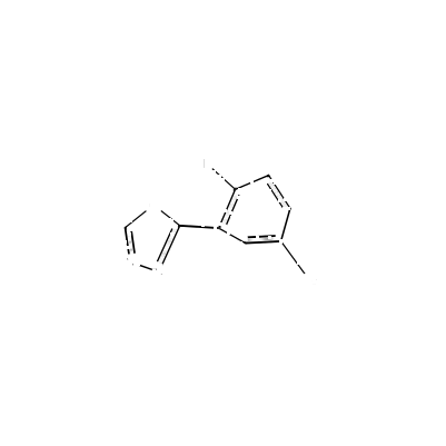 Fc1ccc(Br)cc1-c1nnco1